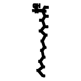 CCCCCCCCCCCCCC(C)=NO